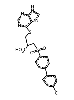 O=C(O)C(CSc1ncnc2[nH]cnc12)CS(=O)(=O)c1ccc(-c2ccc(Cl)cc2)cc1